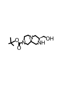 CC(C)(C)OC(=O)N1CCN2C[C@@H](CO)NCC2C1